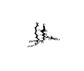 CCC(Br)CCCCCCCBr.CCC(I)CCCCCCCI.CCCCCCCC(Cl)CC.CCCCCCCCC(C)Cl.CCCCCCCCCCCl